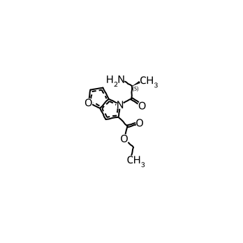 CCOC(=O)c1cc2occc2n1C(=O)[C@H](C)N